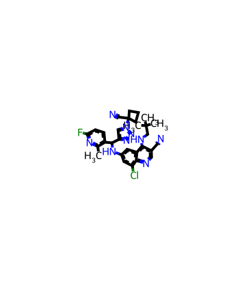 Cc1nc(F)ccc1C(Nc1cc(Cl)c2ncc(C#N)c(NCC(C)(C)C)c2c1)c1cn(C2(C#N)CCC2)nn1